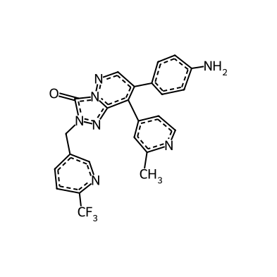 Cc1cc(-c2c(-c3ccc(N)cc3)cnn3c(=O)n(Cc4ccc(C(F)(F)F)nc4)nc23)ccn1